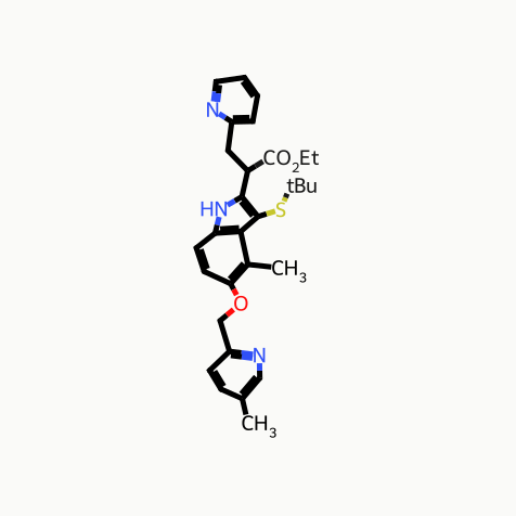 CCOC(=O)C(Cc1ccccn1)c1[nH]c2ccc(OCc3ccc(C)cn3)c(C)c2c1SC(C)(C)C